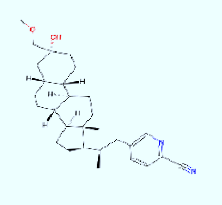 COC[C@@]1(O)CC[C@H]2[C@H](CC[C@@H]3[C@@H]2CC[C@]2(C)[C@@H]([C@H](C)Cc4ccc(C#N)nc4)CC[C@@H]32)C1